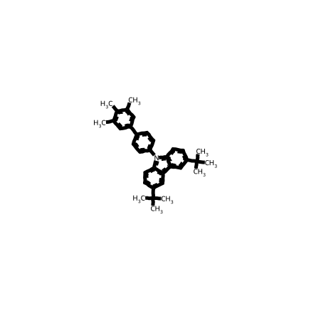 Cc1cc(-c2ccc(-n3c4ccc(C(C)(C)C)cc4c4cc(C(C)(C)C)ccc43)cc2)cc(C)c1C